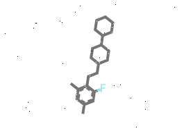 Cc1cc(C)c(CCC2CCC(C3CCCCC3)CC2)c(F)c1